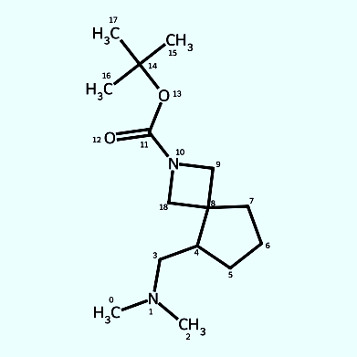 CN(C)CC1CCCC12CN(C(=O)OC(C)(C)C)C2